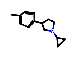 Cc1ccc(C2CCN(C3CC3)C2)cc1